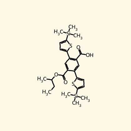 CCC(C)OC(=O)c1cc(-c2ccc([Si](C)(C)C)s2)c(C(=O)O)cc1-c1ccc([Si](C)(C)C)s1